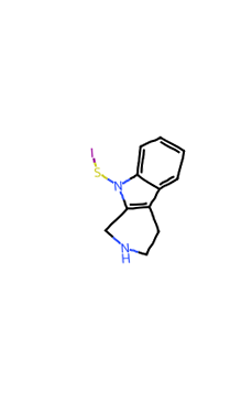 ISn1c2c(c3ccccc31)CCNC2